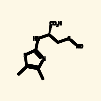 Cc1nc(N[C@@H](CSN=O)C(=O)O)sc1C